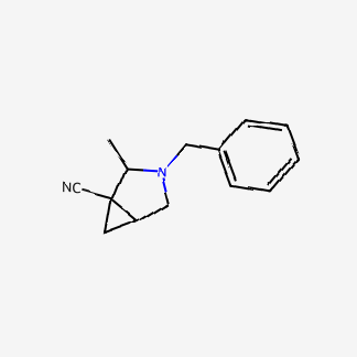 CC1N(Cc2ccccc2)CC2CC21C#N